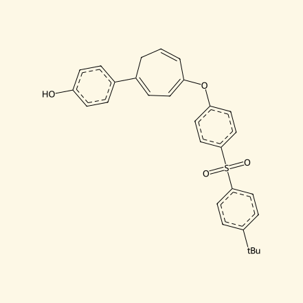 CC(C)(C)c1ccc(S(=O)(=O)c2ccc(OC3=CC=C(c4ccc(O)cc4)CC=C3)cc2)cc1